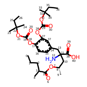 CCCC(C)C(=O)O[C@@H](C)CC(N)(Cc1ccc(OC(=O)OC(C)(C)CC)c(OC(=O)OC(C)(C)CC)c1)C(=O)O